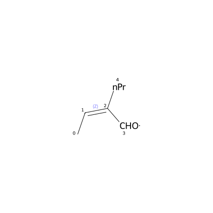 C/C=C(\[C]=O)CCC